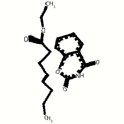 CCCCCCCC(=O)OCC.O=c1[nH]c(=O)c2ccccc2o1